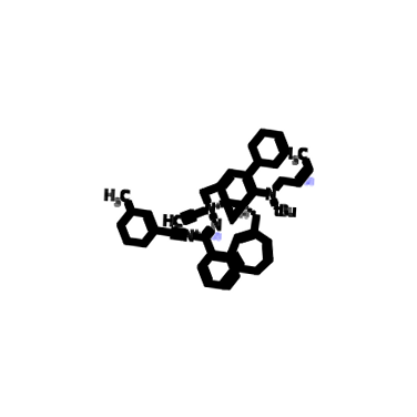 C#C[N+]1(/N=C(\[N+]#CC2=CC(C)CCC2)c2cc#ccc2)CC2=CC(C3CC=CCC3)=C(N(C/C=C\C)C(C)(C)C)[C@@]3(CC4=CC=CCC=C4)CC231